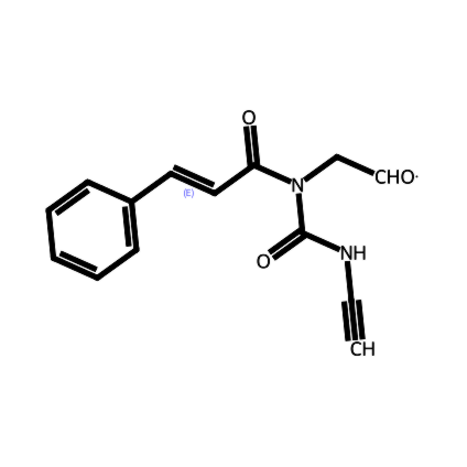 C#CNC(=O)N(C[C]=O)C(=O)/C=C/c1ccccc1